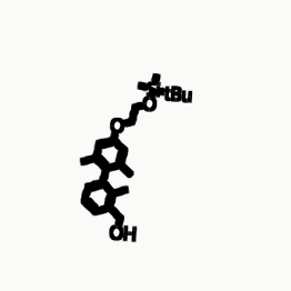 Cc1cc(OCCO[Si](C)(C)C(C)(C)C)cc(C)c1-c1cccc(CO)c1C